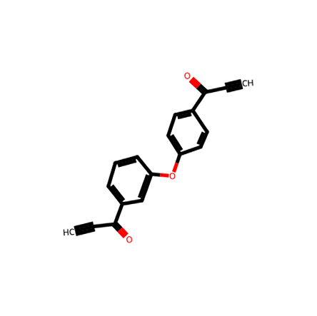 C#CC(=O)c1ccc(Oc2cccc(C(=O)C#C)c2)cc1